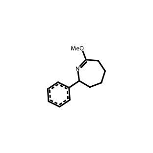 COC1=NC(c2ccccc2)CCCC1